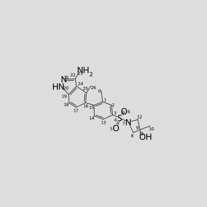 Cc1cc(S(=O)(=O)N2CC(C)(O)C2)ccc1-c1ccc2[nH]nc(N)c2c1C